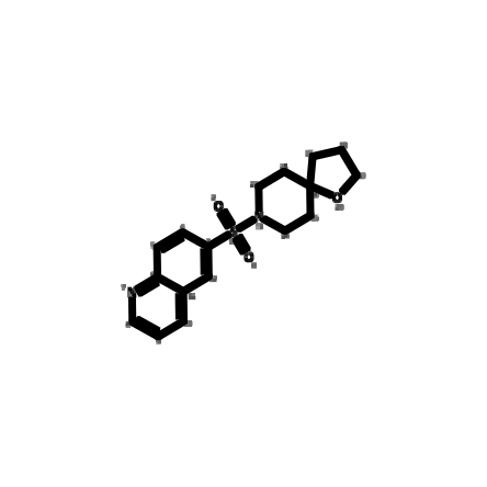 O=S(=O)(c1ccc2ncccc2c1)N1CCC2(CCCO2)CC1